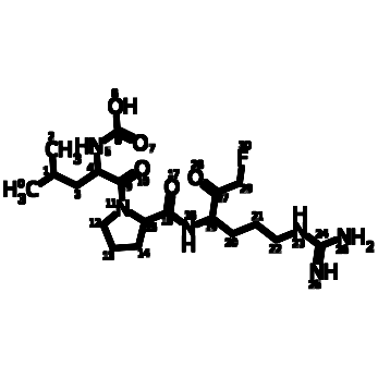 CC(C)CC(NC(=O)O)C(=O)N1CCCC1C(=O)NC(CCCNC(=N)N)C(=O)CF